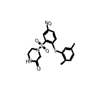 Cc1ccc(C)c(Sc2ccc(N=O)cc2S(=O)(=O)N2CCNC(=O)C2)c1